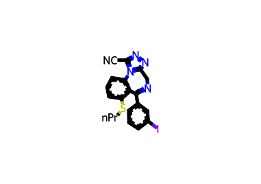 CCCSc1cccc2c1C(c1cccc(I)c1)=NCc1nnc(C#N)n1-2